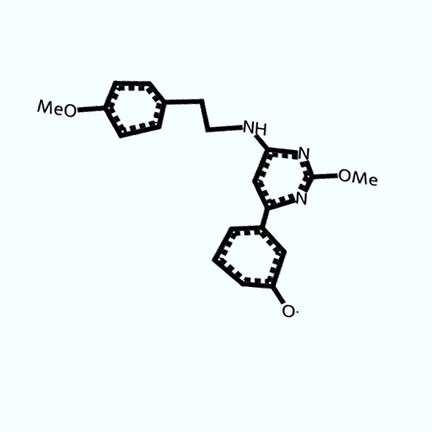 COc1ccc(CCNc2cc(-c3cccc([O])c3)nc(OC)n2)cc1